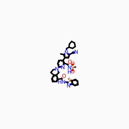 Cc1c(-c2ccc(N3CCc4cccc(C(=O)Nc5nc6ccccc6s5)c4C3)nc2C(=O)NS(C)(=O)=O)cc(C#N)n1CC1CCCCC1